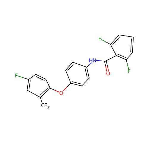 O=C(Nc1ccc(Oc2ccc(F)cc2C(F)(F)F)cc1)c1c(F)cccc1F